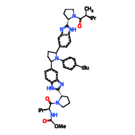 COC(=O)N[C@H](C(=O)N1CCC[C@H]1c1nc2cc(C3CCC(c4ccc5[nH]c([C@@H]6CCCN6C(=O)[C@@H](C)C(C)C)nc5c4)N3c3ccc(C(C)(C)C)cc3)ccc2[nH]1)C(C)C